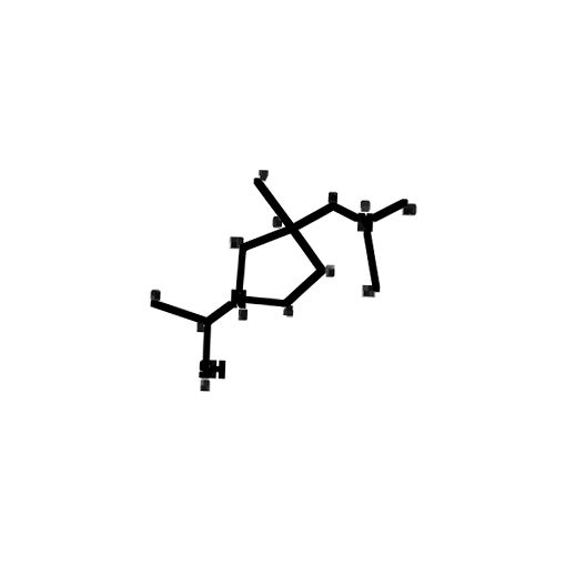 CC(S)N1CCC(C)(CN(C)C)C1